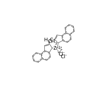 CC1=Cc2c(ccc3ccccc23)[CH]1[Zr+2]1([CH]2C(C)=Cc3c2ccc2ccccc32)[CH2][CH2]1.[Cl-].[Cl-]